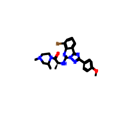 COc1ccc(-c2nc3c4cccc(Br)c4nc(N[C@H](C)C(=O)N4CCN(C)CC4C)n3n2)cc1